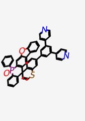 O=P1(c2ccccc2)c2ccccc2C2(c3ccccc3Sc3cc(-c4cc(-c5ccncc5)cc(-c5ccncc5)c4)ccc32)c2cc3c(cc21)oc1ccccc13